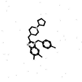 Cc1ccc(Cn2c(CC3CCN(C4CCCC4)CC3)nc3cc(C)c(C)cc32)cc1